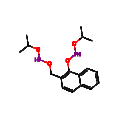 CC(C)OPOCc1ccc2ccccc2c1OPOC(C)C